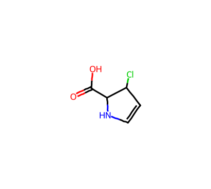 O=C(O)C1NC=CC1Cl